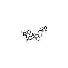 NC(=O)c1ccc(OC(F)F)c(F)c1-c1c(Cl)c(F)cc2c1C[C@@](CNC1CCC3(CCC(=O)N3)CC1)(c1ccccc1)O2